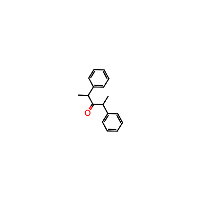 CC(C(=O)C(C)c1ccccc1)c1ccccc1